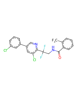 O=C(NCC(F)(F)c1ncc(-c2cccc(Cl)c2)cc1Cl)c1ccccc1C(F)(F)F